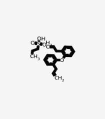 C=CCc1ccccc1Oc1ccccc1CC=C.CCCS(=O)(=O)O